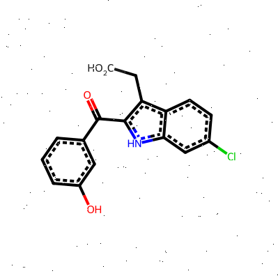 O=C(O)Cc1c(C(=O)c2cccc(O)c2)[nH]c2cc(Cl)ccc12